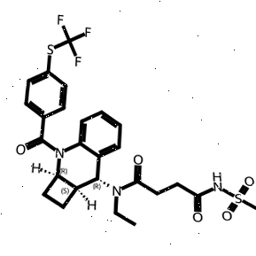 CCN(C(=O)CCC(=O)NS(C)(=O)=O)[C@H]1c2ccccc2N(C(=O)c2ccc(SC(F)(F)F)cc2)[C@@H]2CC[C@@H]21